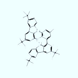 Cc1cc2c3c(c1)-n1c4ccc(C(C)(C)C)cc4c4cc(C(C)(C)C)cc(c41)B3n1c3ccc(C(C)(C)C)cc3c3cc(C(C)(C)C)cc-2c31